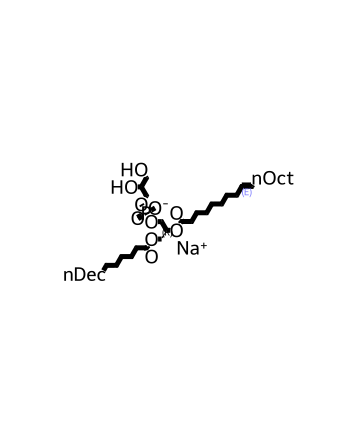 CCCCCCCC/C=C/CCCCCCCC(=O)O[C@H](COC(=O)CCCCCCCCCCCCCCC)COP(=O)([O-])OCC(O)CO.[Na+]